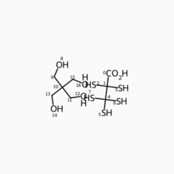 O=C(O)C(S)(S)C(S)(S)S.OCC(CO)(CO)CO